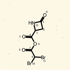 O=C1CC(C(=O)OC(=O)C(Br)Br)N1